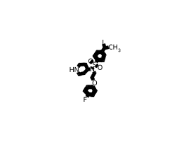 CC(I)c1ccc(S(=O)(=O)N(CCOc2ccc(F)cc2)C2CCNCC2)cc1